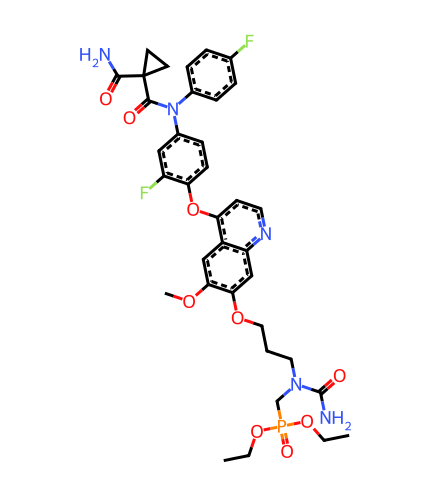 CCOP(=O)(CN(CCCOc1cc2nccc(Oc3ccc(N(C(=O)C4(C(N)=O)CC4)c4ccc(F)cc4)cc3F)c2cc1OC)C(N)=O)OCC